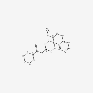 O=C(CN1CCC2(CC1)c1ccccc1CCN2CC(F)(F)F)N1CCCCC1